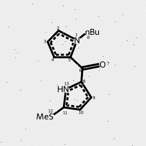 CCCCn1cccc1C(=O)c1ccc(SC)[nH]1